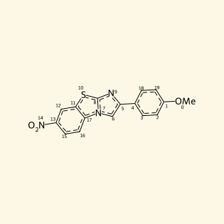 COc1ccc(-c2cn3c(n2)sc2cc([N+](=O)[O-])ccc23)cc1